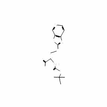 CC(C)(C)OC(=O)N[C@@H](CSc1nc2ccncc2o1)C(=O)O